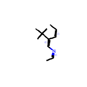 C\C=C/C(=C\N=C/C)C(C)(C)C